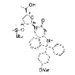 COc1ccc(C(Nc2ccn([C@@H]3O[C@H](C(C)O)C[C@H]3O[Si](C)(C)C(C)(C)C)c(=O)n2)(c2ccccc2)c2ccccc2)cc1